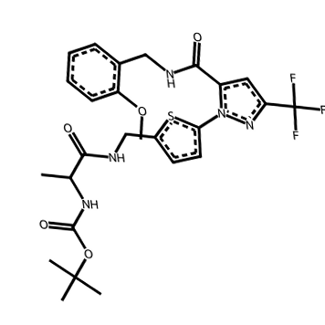 COc1ccccc1CNC(=O)c1cc(C(F)(F)F)nn1-c1ccc(CNC(=O)C(C)NC(=O)OC(C)(C)C)s1